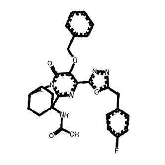 O=C(O)NC12CCC(CC1)Cn1c2nc(-c2nnc(Cc3ccc(F)cc3)o2)c(OCc2ccccc2)c1=O